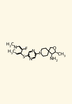 C=N/C=C(F)\C(=C/C)Sc1cnc(N2CCC3(CC2)CO[C@@H](C)[C@H]3N)cn1